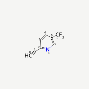 C#Cc1ccc(C(F)(F)F)cn1